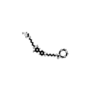 C=CC(=O)OCCCCCCOc1c(F)cc(-c2ccc(OCCCCCCOC(=O)N3CCOCCOCCOCC3)cc2)cc1F